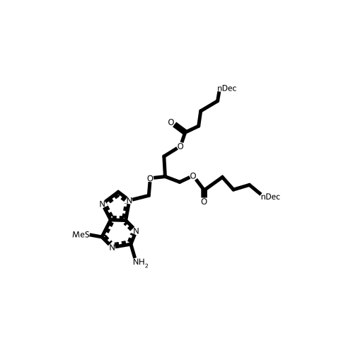 CCCCCCCCCCCCCC(=O)OCC(COC(=O)CCCCCCCCCCCCC)OCn1cnc2c(SC)nc(N)nc21